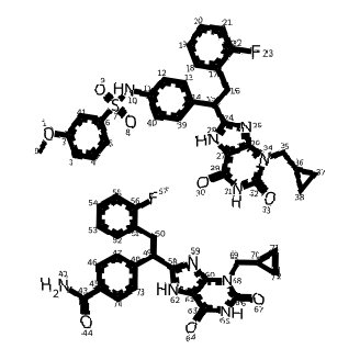 COc1cccc(S(=O)(=O)Nc2ccc(C(Cc3ccccc3F)c3nc4c([nH]3)c(=O)[nH]c(=O)n4CC3CC3)cc2)c1.NC(=O)c1ccc(C(Cc2ccccc2F)c2nc3c([nH]2)c(=O)[nH]c(=O)n3CC2CC2)cc1